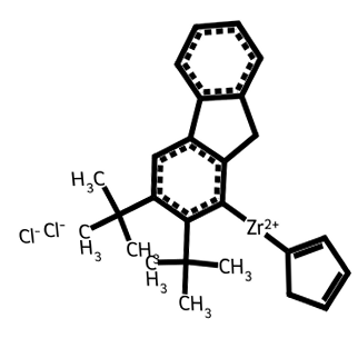 CC(C)(C)c1cc2c([c]([Zr+2][C]3=CC=CC3)c1C(C)(C)C)Cc1ccccc1-2.[Cl-].[Cl-]